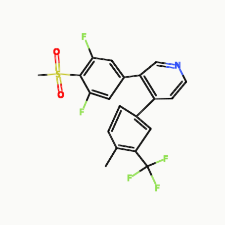 Cc1ccc(-c2ccncc2-c2cc(F)c(S(C)(=O)=O)c(F)c2)cc1C(F)(F)F